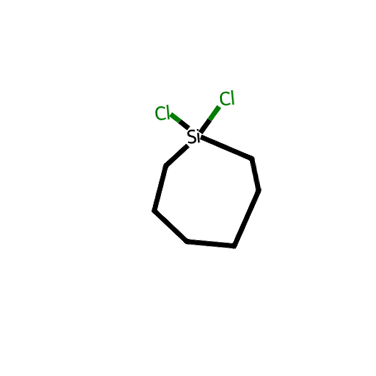 Cl[Si]1(Cl)CCCCCC1